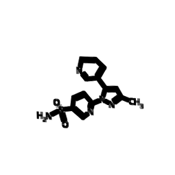 Cc1cc(-c2cccnc2)n(-c2ccc(S(N)(=O)=O)cn2)n1